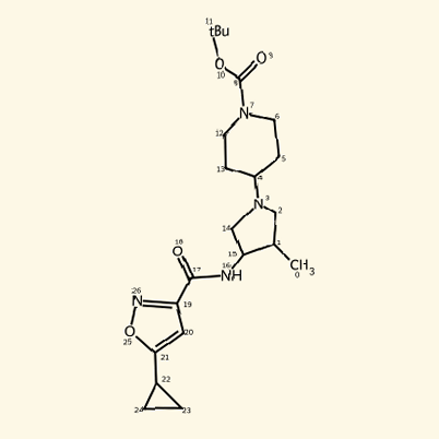 CC1CN(C2CCN(C(=O)OC(C)(C)C)CC2)CC1NC(=O)c1cc(C2CC2)on1